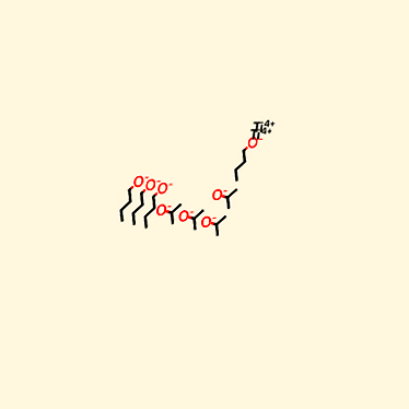 CC(C)[O-].CC(C)[O-].CC(C)[O-].CC(C)[O-].CCCC[O-].CCCC[O-].CCCC[O-].CCCC[O-].[Ti+4].[Ti+4]